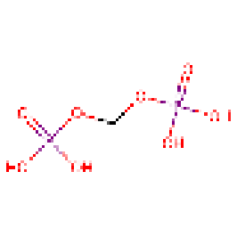 O=P(O)(O)OCOP(=O)(O)O